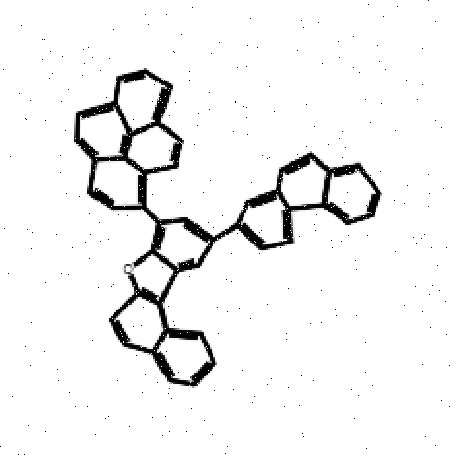 c1ccc2c(c1)ccc1cc(-c3cc(-c4ccc5ccc6cccc7ccc4c5c67)c4oc5ccc6ccccc6c5c4c3)ccc12